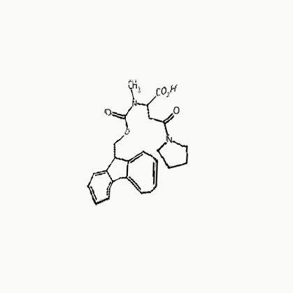 CN(C(=O)OCC1c2ccccc2-c2ccccc21)C(CC(=O)N1CCCC1)C(=O)O